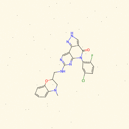 CN1CC(CNc2ncc3c4n[nH]cc4c(=O)n(-c4cc(Cl)ccc4F)c3n2)Oc2ccccc21